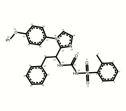 Cc1ccccc1S(=O)(=O)NC(=O)NC(Cc1ccccc1)c1nccn1-c1ccc(OC(C)C)cc1